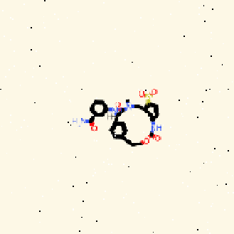 CN1Cc2cc(ccc2[SH](=O)=O)NC(=O)OCCc2ccc(cc2)[C@@H](Nc2cccc(C(N)=O)c2)C1=O